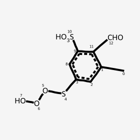 Cc1cc(SOOO)cc(S(=O)(=O)O)c1C=O